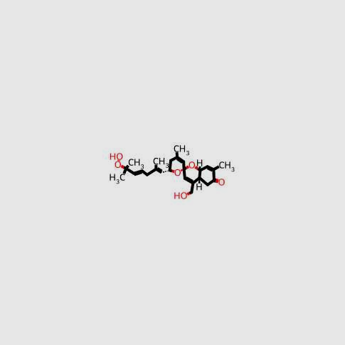 CC1=C[C@]2(C=C(CO)[C@H]3CC(=O)C(C)=C[C@H]3O2)O[C@H](/C=C(\C)C/C=C/C(C)(C)OO)C1